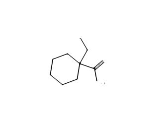 COC(=O)C1(CCl)CCCCC1